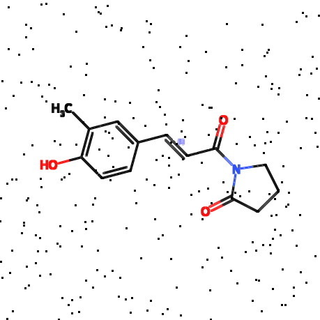 Cc1cc(/C=C/C(=O)N2CCCC2=O)ccc1O